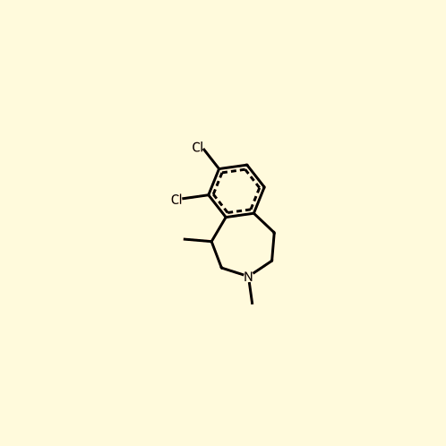 CC1CN(C)CCc2ccc(Cl)c(Cl)c21